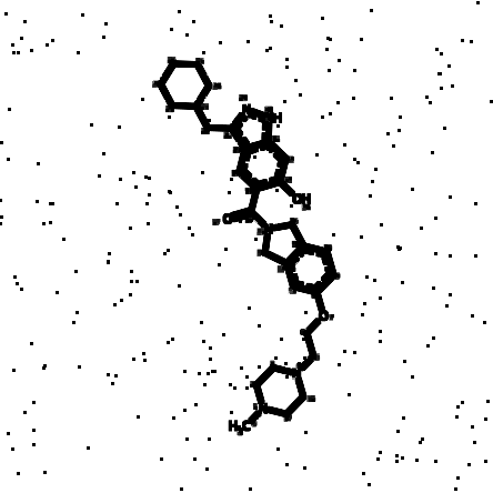 CN1CCN(CCOc2ccc3c(c2)CN(C(=O)c2cc4c(CC5CCCCC5)n[nH]c4cc2O)C3)CC1